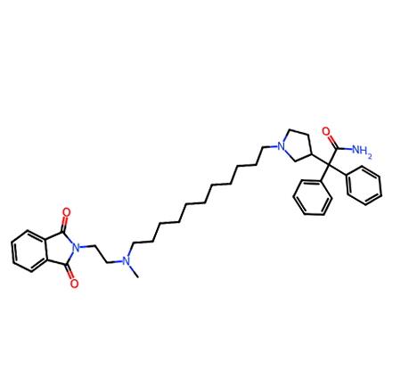 CN(CCCCCCCCCCCN1CCC(C(C(N)=O)(c2ccccc2)c2ccccc2)C1)CCN1C(=O)c2ccccc2C1=O